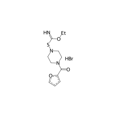 Br.CCOC(=N)SN1CCN(C(=O)c2ccco2)CC1